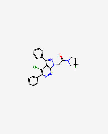 CC1(F)CCN(C(=O)Cn2nc(-c3ccccc3)c3c(Cl)c(-c4ccccc4)nnc32)C1